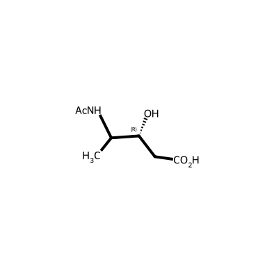 CC(=O)NC(C)[C@H](O)CC(=O)O